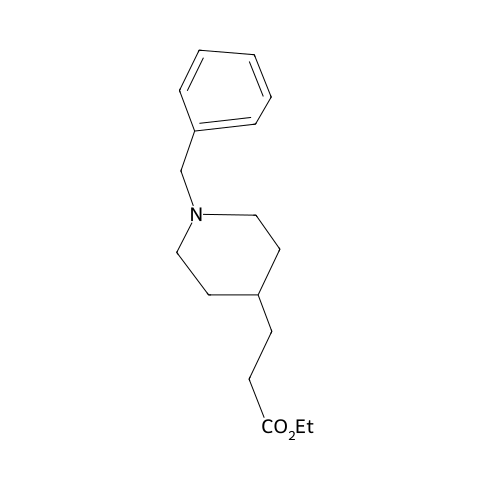 CCOC(=O)CCC1CCN(Cc2ccccc2)CC1